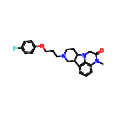 CN1C(=O)CN2c3c(cccc31)C1CN(CCCOc3ccc(F)cc3)CCC12